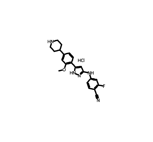 COc1cc(C2CCNCC2)ccc1-c1cc(Nc2ccc(C#N)c(F)c2)n[nH]1.Cl